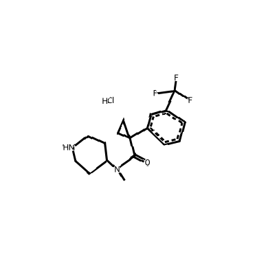 CN(C(=O)C1(c2cccc(C(F)(F)F)c2)CC1)C1CCNCC1.Cl